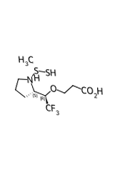 C[SH](S)N1CCC[C@H]1[C@@H](OCCC(=O)O)C(F)(F)F